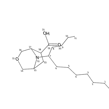 CCCCCCCC(CCCC)N1C2COCC1C(C(=O)O)C2